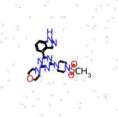 CS(=O)(=O)N1CCN(c2nc(-c3cccc4[nH]ncc34)nc(N3CCOCC3)n2)CC1